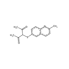 CC(=O)C(Sc1ccc2nc(C)ccc2c1)C(C)=O